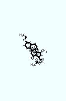 CCOC1=CC2=CC[C@@H]3[C@H](CC[C@@]4(C)[C@H]3[C@H](C)C[C@]4(OC(C)=O)C(C)=O)[C@H]2CC1